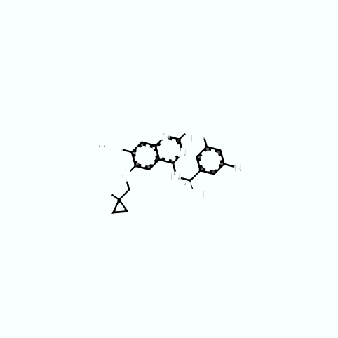 COc1cc2nc(C)nc(N[C@H](C)c3cc([N+](=O)[O-])cc(C(F)(F)F)c3)c2cc1OCC1(C(=O)O)CC1